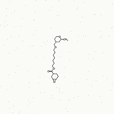 CC1CC(COCCCCCCCOC(=O)C2CCC3OC3C2)CCO1